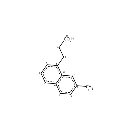 Cc1ccc2cccc(CCC(=O)O)c2c1